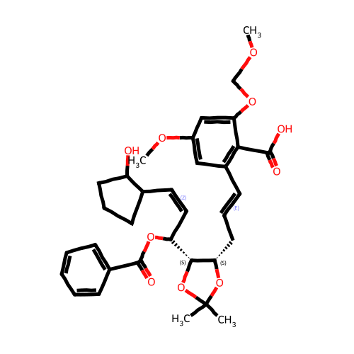 COCOc1cc(OC)cc(/C=C/C[C@@H]2OC(C)(C)O[C@@H]2C(/C=C\C2CCCC2O)OC(=O)c2ccccc2)c1C(=O)O